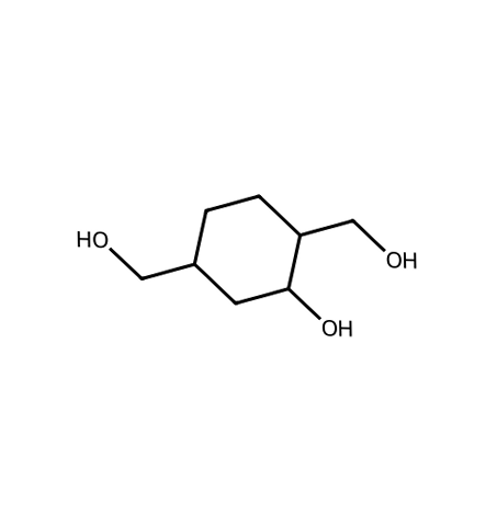 OCC1CCC(CO)C(O)C1